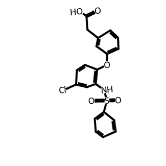 O=C(O)Cc1cccc(Oc2ccc(Cl)cc2NS(=O)(=O)c2ccccc2)c1